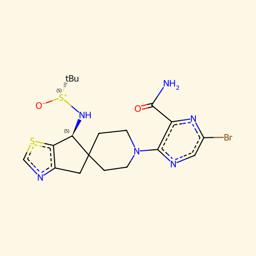 CC(C)(C)[S@@+]([O-])N[C@@H]1c2scnc2CC12CCN(c1ncc(Br)nc1C(N)=O)CC2